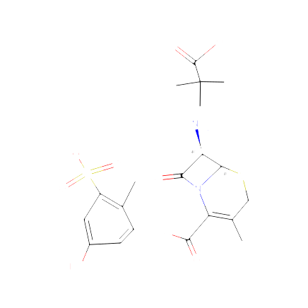 CC(C)(C)C(=O)O.CC1=C(C(=O)O)N2C(=O)[C@@H](N)[C@H]2SC1.Cc1ccc(O)cc1S(=O)(=O)O